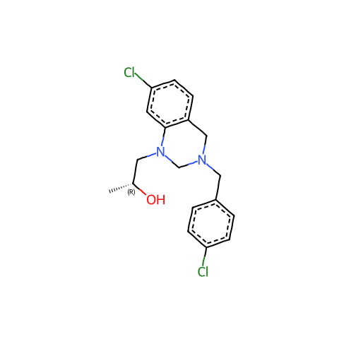 C[C@@H](O)CN1CN(Cc2ccc(Cl)cc2)Cc2ccc(Cl)cc21